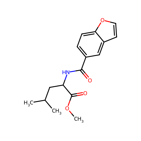 COC(=O)C(CC(C)C)NC(=O)c1ccc2occc2c1